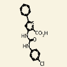 O=C(Nc1ccc(Cl)cc1)Nc1cc(-c2ccccc2)sc1C(=O)O